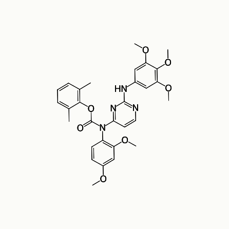 COc1ccc(N(C(=O)Oc2c(C)cccc2C)c2ccnc(Nc3cc(OC)c(OC)c(OC)c3)n2)c(OC)c1